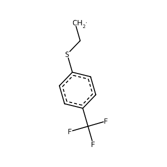 [CH2]CSc1ccc(C(F)(F)F)cc1